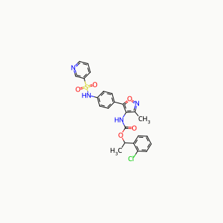 Cc1noc(-c2ccc(NS(=O)(=O)c3cccnc3)cc2)c1NC(=O)OC(C)c1ccccc1Cl